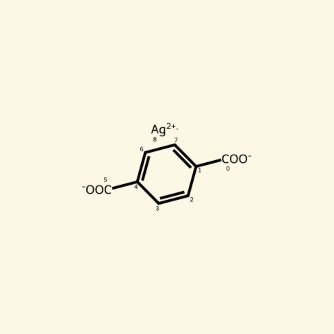 O=C([O-])c1ccc(C(=O)[O-])cc1.[Ag+2]